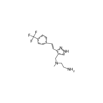 CN(CCN)Cc1c[nH]nc1/C=C/c1ccc(C(F)(F)F)cc1